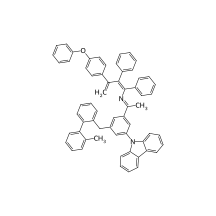 C=C(/C(=C(\N=C(/C)c1cc(Cc2ccccc2-c2ccccc2C)cc(-n2c3ccccc3c3ccccc32)c1)c1ccccc1)c1ccccc1)c1ccc(Oc2ccccc2)cc1